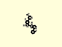 CN(C)c1cncc(-c2cc3c(-c4nc5c(-c6ccccc6F)nccc5[nH]4)n[nH]c3cc2F)c1